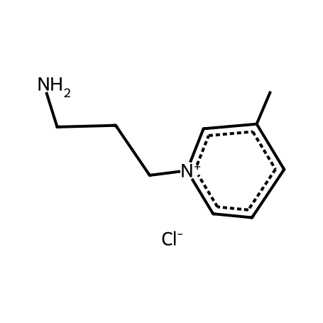 Cc1ccc[n+](CCCN)c1.[Cl-]